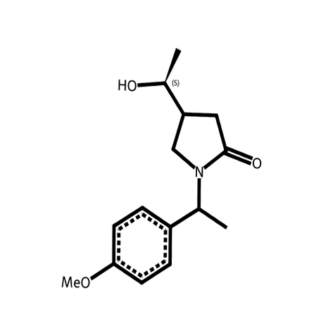 COc1ccc(C(C)N2CC([C@H](C)O)CC2=O)cc1